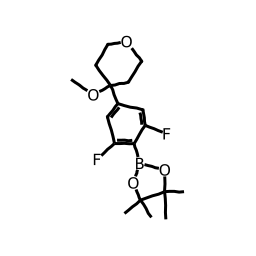 COC1(c2cc(F)c(B3OC(C)(C)C(C)(C)O3)c(F)c2)CCOCC1